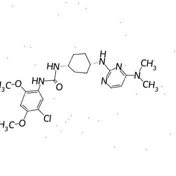 COc1cc(OC)c(NC(=O)N[C@H]2CC[C@@H](Nc3nccc(N(C)C)n3)CC2)cc1Cl